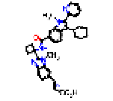 Cn1c(C2(NC(=O)c3ccc4c(C5CCCCC5)c(-c5ccccn5)n(C)c4c3)CCC2)nc2ccc(/C=C/C(=O)O)cc21